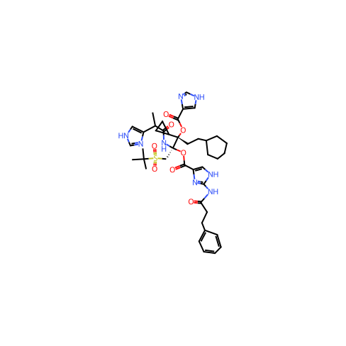 CC(C(=O)N[C@](CS(=O)(=O)C(C)(C)C)(OC(=O)c1c[nH]c(NC(=O)CCc2ccccc2)n1)[C@@](CCC1CCCCC1)(OC(=O)c1c[nH]cn1)C1CC1)c1c[nH]cn1